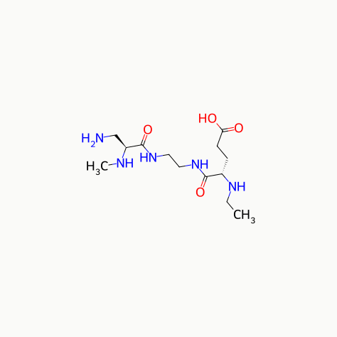 CCN[C@@H](CCC(=O)O)C(=O)NCCNC(=O)[C@H](CN)NC